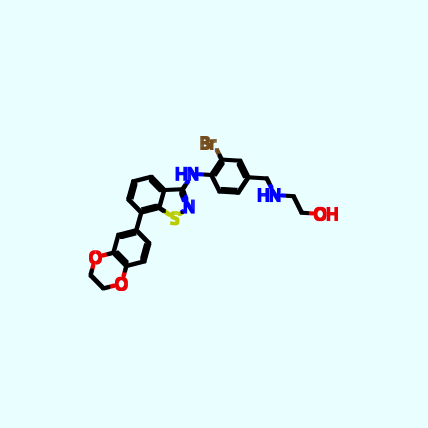 OCCNCc1ccc(Nc2nsc3c(-c4ccc5c(c4)OCCO5)cccc23)c(Br)c1